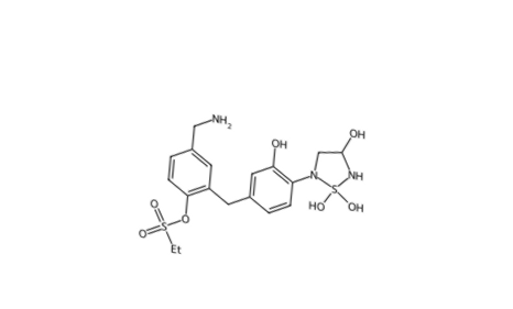 CCS(=O)(=O)Oc1ccc(CN)cc1Cc1ccc(N2CC(O)NS2(O)O)c(O)c1